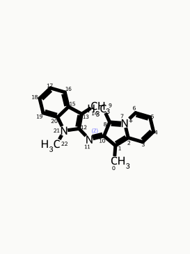 CC1=c2cccc[n+]2=C(C)/C1=N\c1c(C)c2ccccc2n1C